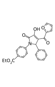 CCOC(=O)c1ccc(N2C(=O)C(O)=C(C(=O)c3ccco3)C2c2ccccc2)cc1